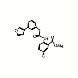 COC(=O)c1cc(Cl)ccc1NC(=O)Cc1cccc(-c2ccoc2)c1